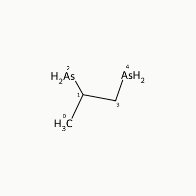 CC([AsH2])C[AsH2]